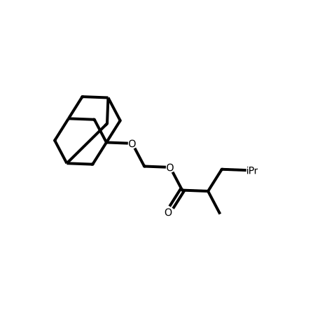 CC(C)CC(C)C(=O)OCOC12CC3CC(CC(C3)C1)C2